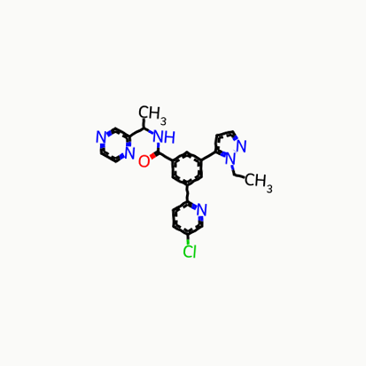 CCn1nccc1-c1cc(C(=O)NC(C)c2cnccn2)cc(-c2ccc(Cl)cn2)c1